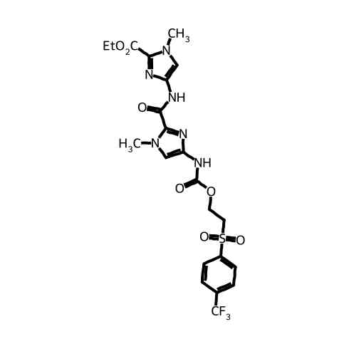 CCOC(=O)c1nc(NC(=O)c2nc(NC(=O)OCCS(=O)(=O)c3ccc(C(F)(F)F)cc3)cn2C)cn1C